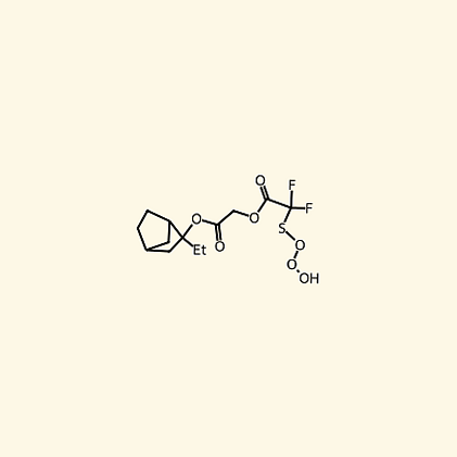 CCC1(OC(=O)COC(=O)C(F)(F)SOOO)CC2CCC1C2